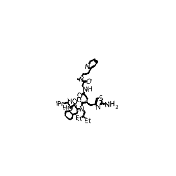 CCC(CC)CN(C(=O)[C@@H](CC(=O)NCC(=O)N(C)CCc1ccccn1)Cc1csc(N)n1)[C@@H](CC1CCCCC1)[C@@H](O)[C@@H](O)CC(C)C